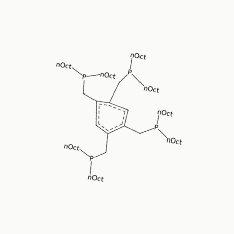 CCCCCCCCP(CCCCCCCC)Cc1cc(CP(CCCCCCCC)CCCCCCCC)c(CP(CCCCCCCC)CCCCCCCC)cc1CP(CCCCCCCC)CCCCCCCC